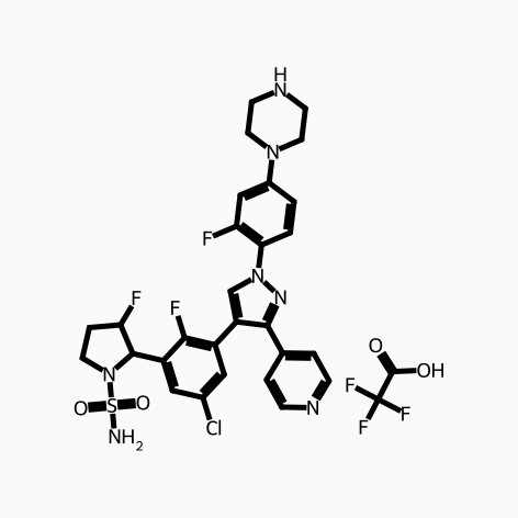 NS(=O)(=O)N1CCC(F)C1c1cc(Cl)cc(-c2cn(-c3ccc(N4CCNCC4)cc3F)nc2-c2ccncc2)c1F.O=C(O)C(F)(F)F